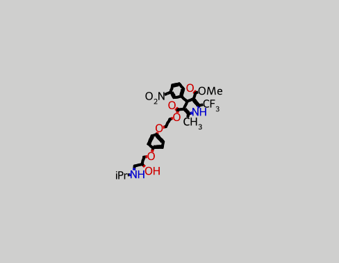 COC(=O)C1=C(C(F)(F)F)NC(C)=C(C(=O)OCCOc2ccc(OCC(O)CNC(C)C)cc2)C1c1cccc([N+](=O)[O-])c1